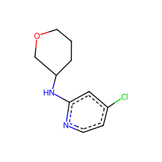 Clc1ccnc(NC2CCCOC2)c1